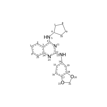 c1ccc2c(NC3CCCC3)nc(Nc3ccc4c(c3)OCO4)nc2c1